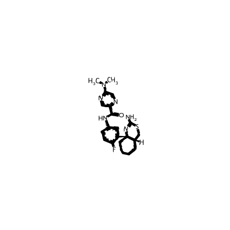 CN(C)c1cnc(C(=O)Nc2ccc(F)c([C@]34CCCC[C@H]3CSC(N)=N4)c2)cn1